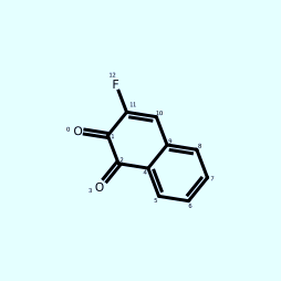 O=C1C(=O)c2ccccc2C=C1F